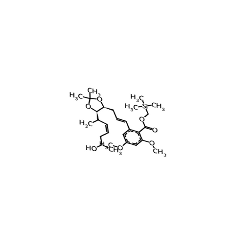 COc1cc(/C=C/C[C@@H]2OC(C)(C)O[C@@H]2C(C)/C=C\C[C@@H](C)O)c(C(=O)OC[Si](C)(C)C)c(OC)c1